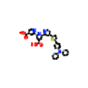 O=C(O)c1ccnc(-c2cc(C(=O)O)cc(-c3cc(-c4ccc(-c5ccc(N(c6ccccc6)c6ccccc6)cc5)s4)ccn3)n2)c1